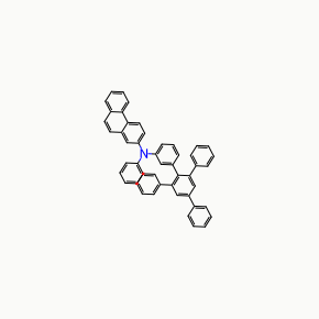 c1ccc(-c2cc(-c3ccccc3)c(-c3cccc(N(c4ccccc4)c4ccc5c(ccc6ccccc65)c4)c3)c(-c3ccccc3)c2)cc1